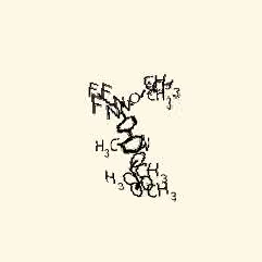 COC(=O)C(C)(C)COc1cc(C)c(-c2ccc(-c3nc(C(F)(F)F)nn3COCC[Si](C)(C)C)cc2)cn1